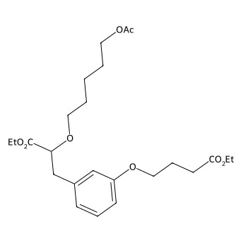 CCOC(=O)CCCOc1cccc(CC(OCCCCCOC(C)=O)C(=O)OCC)c1